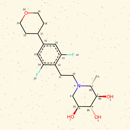 C[C@@H]1[C@@H](O)[C@H](O)[C@@H](O)CN1CCc1c(F)cc(C2CCOCC2)cc1F